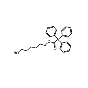 O=C(OCCCCCCO)C(c1ccccc1)(c1ccccc1)c1ccccc1